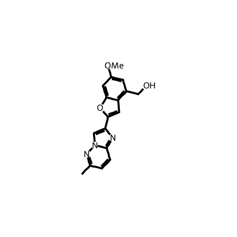 COc1cc(CO)c2cc(-c3cn4nc(C)ccc4n3)oc2c1